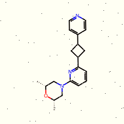 C[C@@H]1CN(c2cccc(C3CC(c4ccncc4)C3)n2)C[C@H](C)O1